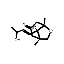 CC(O)/C=C/[C@]1(O)[C@]2(C)CO[C@@]1(C)CC(=O)C2